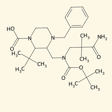 CC(C)(C)OC(=O)N(CC1C(C(C)(C)C)N(C(=O)O)CCN1Cc1ccccc1)CC(C)(C)C(N)=O